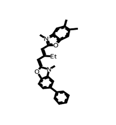 CC/C(C=C1Oc2ccc(-c3ccccc3)cc2N1C)=C\c1oc2cc(C)c(C)cc2[n+]1C